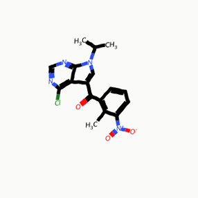 Cc1c(C(=O)c2cn(C(C)C)c3ncnc(Cl)c23)cccc1[N+](=O)[O-]